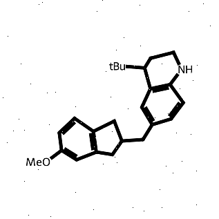 COc1ccc2c(c1)CC(Cc1ccc3c(c1)C(C(C)(C)C)CCN3)C2